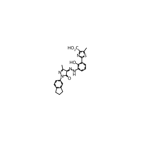 CC1=NN(c2ccc3c(c2)CCC3)C(=O)/C1=N\Nc1cccc(-c2nc(C(=O)O)c(C)s2)c1O